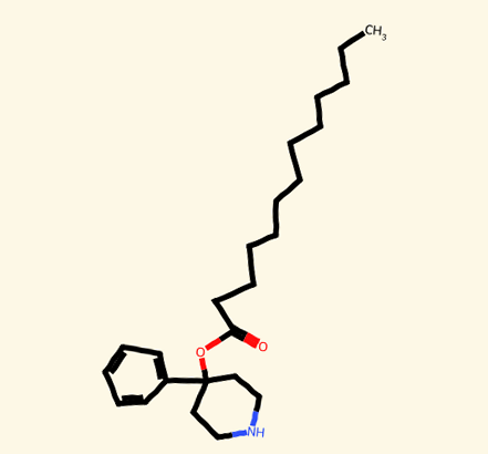 CCCCCCCCCCCCC(=O)OC1(c2ccccc2)CCNCC1